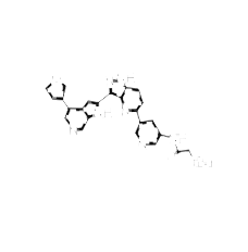 CC(C)(C)CC(=O)Nc1cncc(-c2ccc3[nH]nc(-c4cc5c(-c6ccoc6)cncc5[nH]4)c3n2)c1